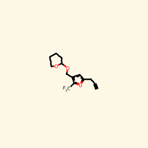 C#CCc1cc(COC2CCCCO2)c(C(F)(F)F)o1